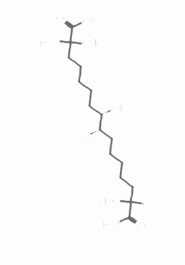 CC(C)(CCCCC[C@@H](O)[C@H](O)CCCCCC(C)(C)C(=O)O)C(=O)O